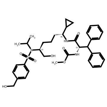 COC(=O)N[C@H](C(=O)N[C@H](CCC[C@@H](CO)N(C(C)C)S(=O)(=O)c1ccc(CO)cc1)C1CC1)C(c1ccccc1)c1ccccc1